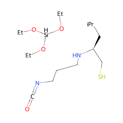 CC(C)C[C@@H](CS)NCCCN=C=O.CCO[SiH](OCC)OCC